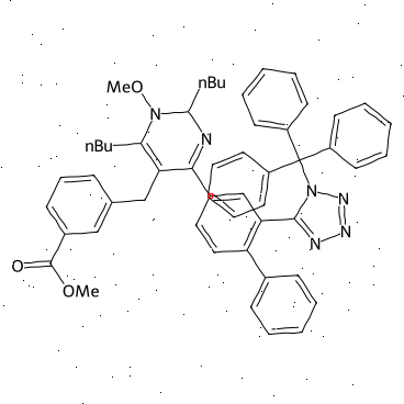 CCCCC1=C(Cc2cccc(C(=O)OC)c2)C(c2ccc(-c3ccccc3)c(-c3nnnn3C(c3ccccc3)(c3ccccc3)c3ccccc3)c2)=NC(CCCC)N1OC